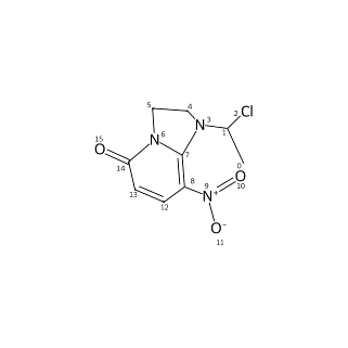 CC(Cl)N1CCn2c1c([N+](=O)[O-])ccc2=O